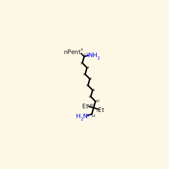 CCCCCC(N)CCCCCCCCC(CC)(CC)CN